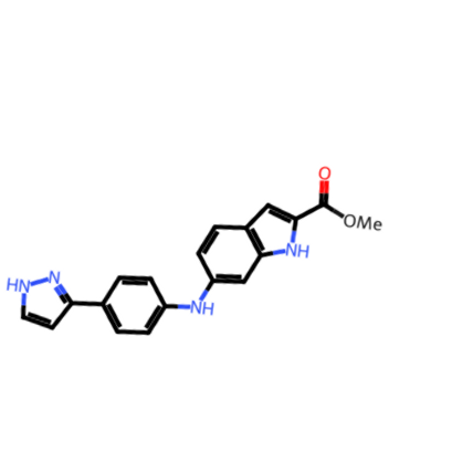 COC(=O)c1cc2ccc(Nc3ccc(-c4cc[nH]n4)cc3)cc2[nH]1